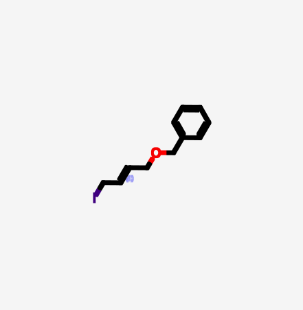 IC/C=C/COCc1ccccc1